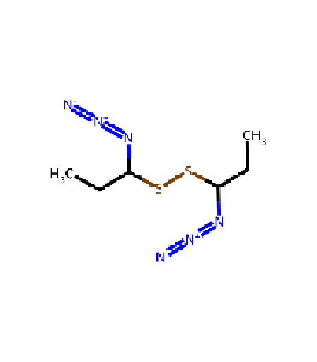 CCC(N=[N+]=[N-])SSC(CC)N=[N+]=[N-]